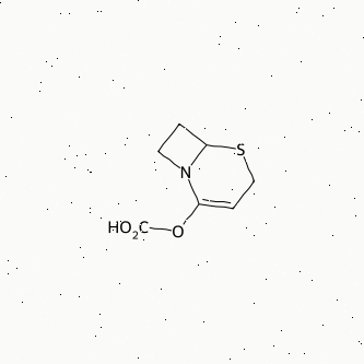 O=C(O)OC1=CCSC2CCN12